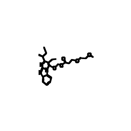 CCc1c([C@@H](C)CC)nc2nc3ccccc3n2c1OCOC(=O)CCOCCOC